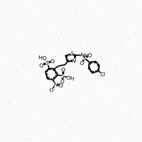 O=[N+]([O-])c1ccc(S(=O)(=O)O)c(CCc2csc(NS(=O)(=O)c3ccc(Cl)cc3)n2)c1S(=O)(=O)O